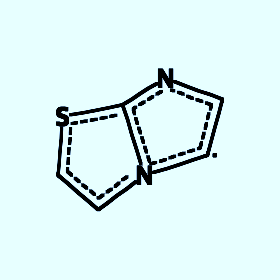 [c]1cnc2sccn12